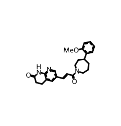 COc1ccccc1C1CCCN(C(=O)/C=C/c2cnc3c(c2)CCC(=O)N3)CC1